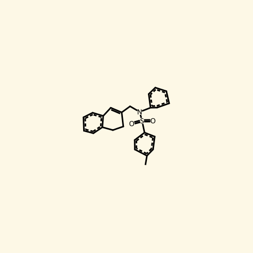 Cc1ccc(S(=O)(=O)N(CC2=Cc3ccccc3CC2)c2ccccc2)cc1